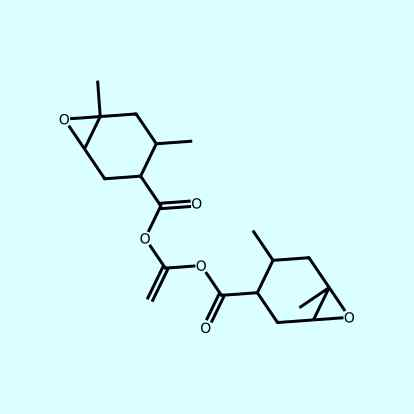 C=C(OC(=O)C1CC2OC2(C)CC1C)OC(=O)C1CC2OC2(C)CC1C